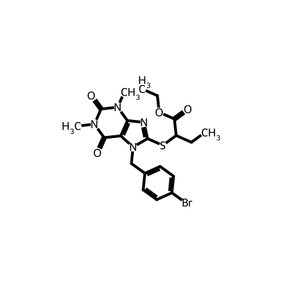 CCOC(=O)C(CC)Sc1nc2c(c(=O)n(C)c(=O)n2C)n1Cc1ccc(Br)cc1